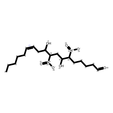 CCCCC/C=C\CC(O)C(CC(O)C(CCCCC=O)[N+](=O)[O-])[N+](=O)[O-]